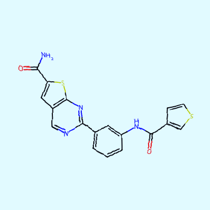 NC(=O)c1cc2cnc(-c3cccc(NC(=O)c4ccsc4)c3)nc2s1